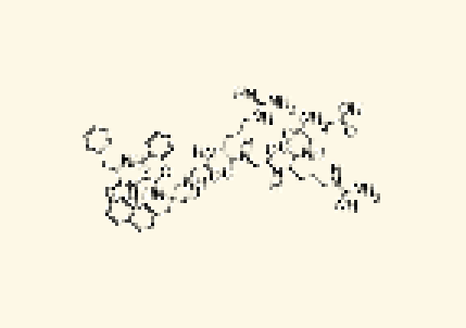 N=C(N)NCCC[C@@H](NC(=O)CNC[C@](C=O)(Cc1ccc2ccccc2c1)NC(=O)[C@@H](Cc1ccccc1)NC(=O)[C@@H](N)Cc1ccccc1)C(=O)NCC(=O)N[C@H](CCCNC(=N)N)C(=O)N[C@@H](CCC(=O)O)C(N)=O